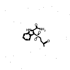 CC(=O)CCS(=O)(=O)c1c(C(N)=O)[nH]c2ccccc12